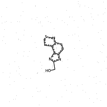 OCc1nc2ccc3nsccc3c2n1